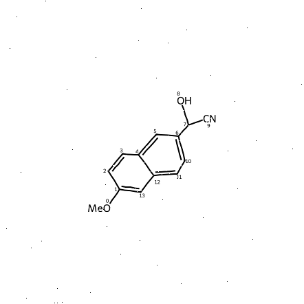 COc1ccc2cc(C(O)C#N)ccc2c1